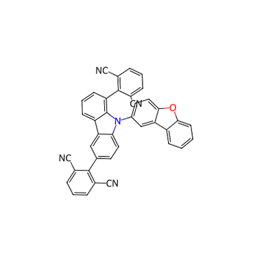 N#Cc1cccc(C#N)c1-c1ccc2c(c1)c1cccc(-c3c(C#N)cccc3C#N)c1n2-c1ccc2oc3ccccc3c2c1